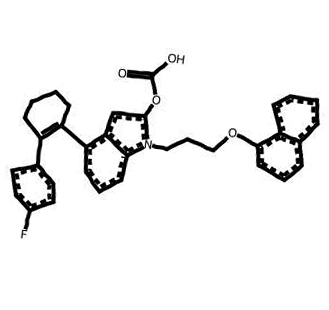 O=C(O)Oc1cc2c(C3=C(c4ccc(F)cc4)CCCC3)cccc2n1CCCOc1cccc2ccccc12